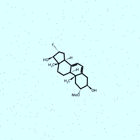 CO[C@@H]1C[C@@]2(C)C(=CC=C3[C@@H]4C[C@@H](F)[C@H](O)[C@@]4(C)CC[C@@H]32)C[C@H]1O